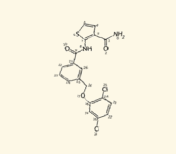 NC(=O)c1ccsc1NC(=O)c1cccc(COc2cc(Cl)ccc2Cl)c1